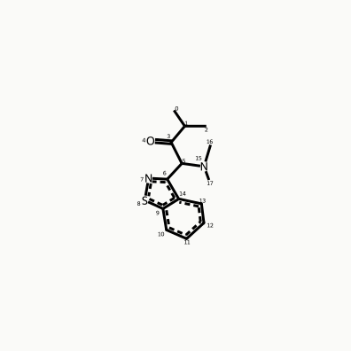 CC(C)C(=O)C(c1nsc2ccccc12)N(C)C